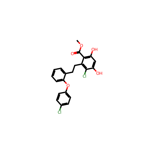 COC(=O)c1c(O)cc(O)c(Cl)c1CCc1ccccc1Oc1ccc(Cl)cc1